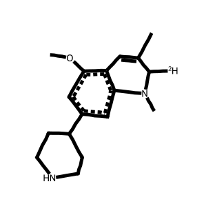 [2H]C1C(C)=Cc2c(OC)cc(C3CCNCC3)cc2N1C